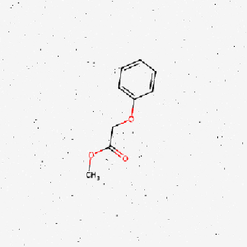 COC(=O)COc1c[c]ccc1